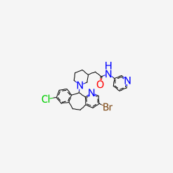 O=C(CC1CCCN(C2c3ccc(Cl)cc3CCc3cc(Br)cnc32)C1)Nc1cccnc1